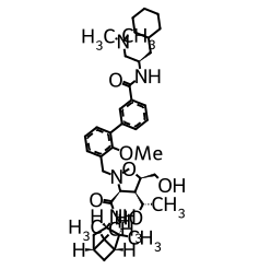 COc1c(CN2O[C@@H](CO)[C@@H]([C@H](C)O)[C@H]2C(=O)N[C@H]2C[C@H]3C[C@@H]([C@@H]2C)C3(C)C)cccc1-c1cccc(C(=O)N[C@H](CC2CCCCC2)CN(C)C)c1